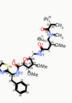 CC[C@H](C)C([C@H](CC(=O)NC[C@H]1O[C@H](C(=O)N[C@@H](Cc2ccccc2)C2=NCCS2)[C@@H](OC)[C@@H]1OC)OC)N(C)C(=O)[C@@H](C)C(C)C